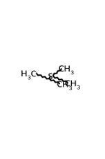 CCCCCCCC(CCCCC)SC(CCCCC)CCCCCCC